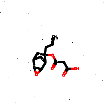 C=CCC1(OC(=O)CC(=O)O)CC2CC1C1OC21